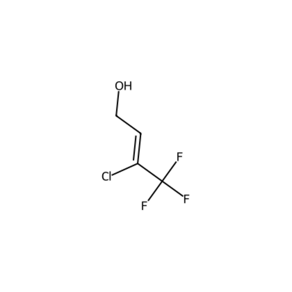 OC/C=C(\Cl)C(F)(F)F